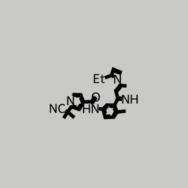 CCC1C=CN1/C(C)=C/C(=N)c1cc(NC(=O)c2ccnc(C(C)(C)C#N)c2)ccc1C